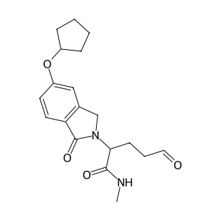 CNC(=O)C(CCC=O)N1Cc2cc(OC3CCCC3)ccc2C1=O